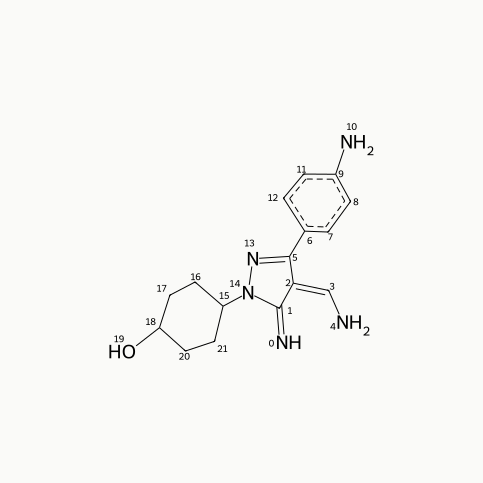 N=C1/C(=C\N)C(c2ccc(N)cc2)=NN1C1CCC(O)CC1